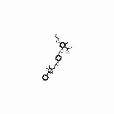 CCCOc1cc(C)c(C(=O)OC)c(OCc2ccc(OCCc3nc(-c4ccccc4)oc3C)cc2)c1